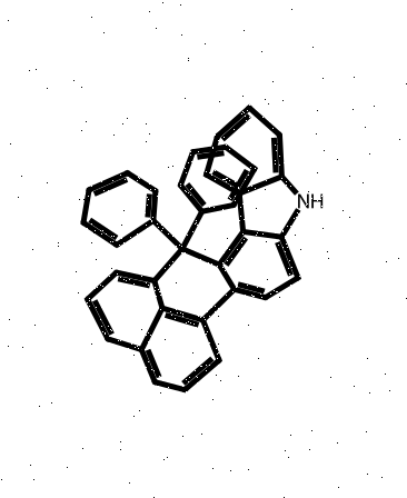 c1ccc(C2(c3ccccc3)c3cccc4cccc(c34)-c3ccc4[nH]c5ccccc5c4c32)cc1